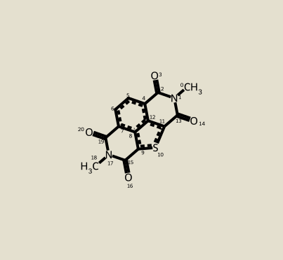 CN1C(=O)c2ccc3c4c(sc(c24)C1=O)C(=O)N(C)C3=O